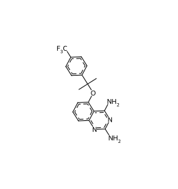 CC(C)(Oc1cccc2nc(N)nc(N)c12)c1ccc(C(F)(F)F)cc1